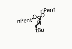 CCCCCO[SiH](CCC(C)(C)C)OCCCCC